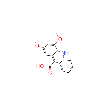 COC1=CC2=C(C(=O)O)c3ccccc3NC2C(OC)=C1